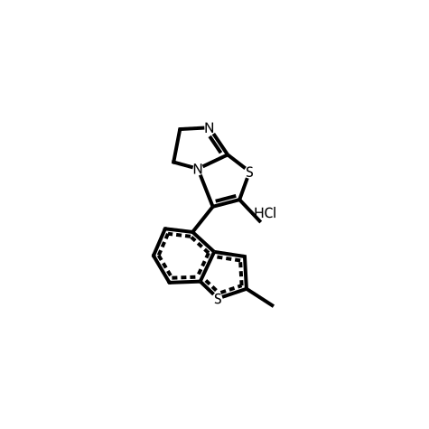 CC1=C(c2cccc3sc(C)cc23)N2CCN=C2S1.Cl